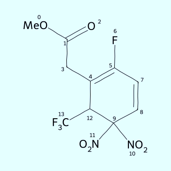 COC(=O)CC1=C(F)C=CC([N+](=O)[O-])([N+](=O)[O-])C1C(F)(F)F